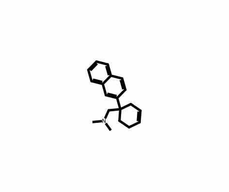 CN(C)CC1(c2ccc3ccccc3c2)CC=CCC1